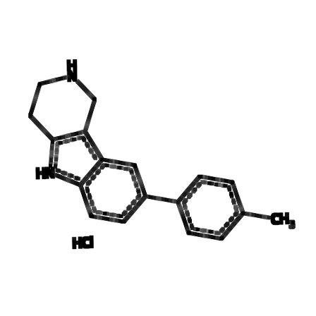 Cc1ccc(-c2ccc3[nH]c4c(c3c2)CNCC4)cc1.Cl